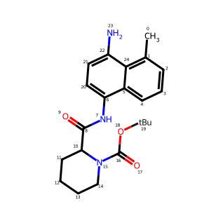 Cc1cccc2c(NC(=O)C3CCCCN3C(=O)OC(C)(C)C)ccc(N)c12